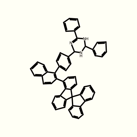 c1ccc(C2=NC(c3ccc(-c4c(-c5cccc6c5-c5ccccc5C65c6ccccc6-c6ccccc65)ccc5ccccc45)cc3)NC(c3ccccc3)N2)cc1